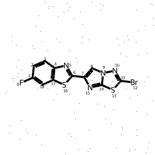 Fc1ccc2nc(-c3cn4nc(Br)sc4n3)sc2c1